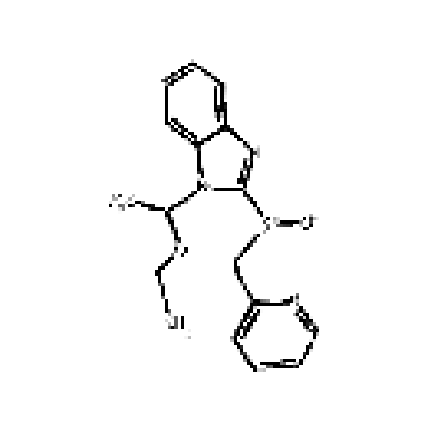 CCOC(C)n1c([S+]([O-])Cc2ccccn2)nc2ccccc21